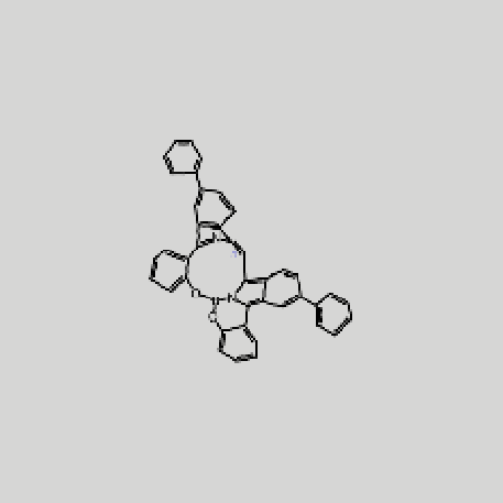 C1=C2\N=C(c3ccccc3OB3Oc4ccccc4-c4c5cc(-c6ccccc6)ccc5c/1n43)c1cc(-c3ccccc3)ccc12